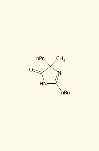 CCCCC1=NC(C)(CCC)C(=O)N1